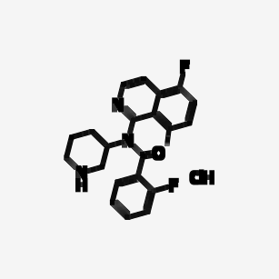 Cc1ccc(F)c2ccnc(N(C(=O)c3ccccc3F)C3CCCNC3)c12.Cl